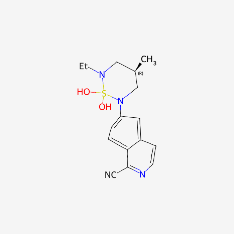 CCN1C[C@@H](C)CN(c2ccc3c(C#N)nccc3c2)S1(O)O